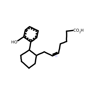 O=C(O)CCC/C=C\CC1CCCCC1c1ccccc1O